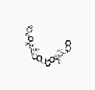 O=C(NCC(O)CN1CCc2ccccc2C1)c1ccc2nc(Cc3ccc4c(c3)CCN(C[C@H](O)CNC(=O)c3cccc(OC5CCOCC5)c3)C4)ccc2c1